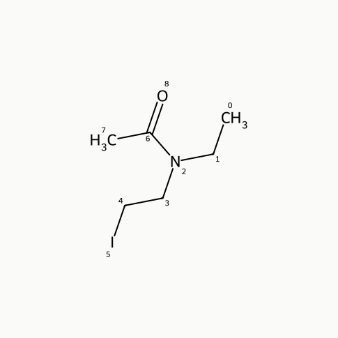 CCN(CCI)C(C)=O